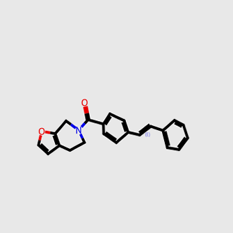 O=C(c1ccc(/C=C/c2ccccc2)cc1)N1CCc2ccoc2C1